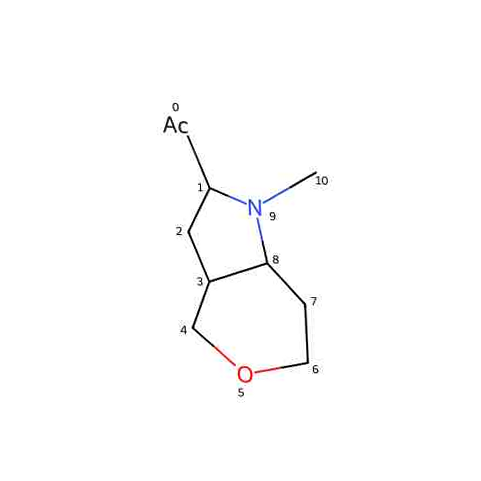 CC(=O)C1CC2COCCC2N1C